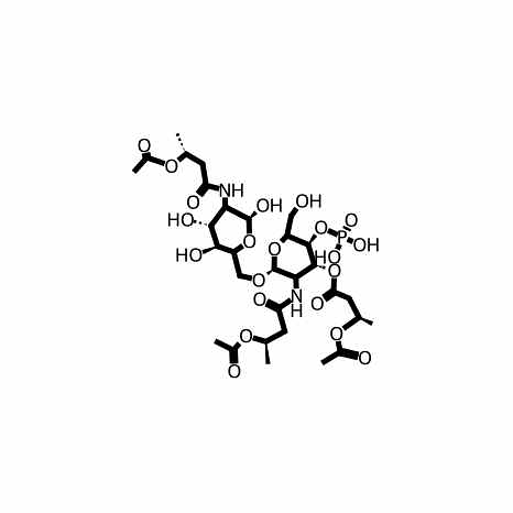 CC(=O)O[C@H](C)CC(=O)NC1[C@H](OCC2O[C@H](O)C(NC(=O)C[C@@H](C)OC(C)=O)[C@@H](O)[C@@H]2O)OC(CO)[C@@H](OP(=O)(O)O)[C@@H]1OC(=O)C[C@@H](C)OC(C)=O